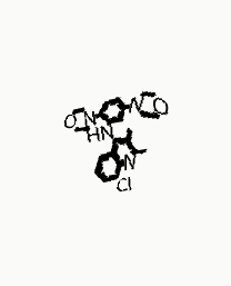 Cc1nc2c(Cl)cccc2c(Nc2cc(N3CCOCC3)ccc2N2CCOCC2)c1C